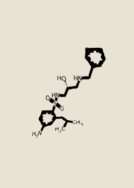 CC(C)Cc1cc(N)ccc1S(=O)(=O)NC[C@H](O)CNCc1ccccc1